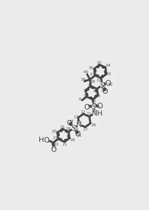 Cc1cc2c(cc1S(=O)(=O)NC1CCN(S(=O)(=O)c3ccc(C(=O)O)cc3)CC1)S(=O)(=O)c1ccccc1C2(C)C